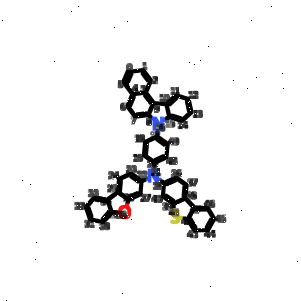 c1ccc2c(c#1)ccc1c2c2ccccc2n1-c1ccc(N(c2ccc3c(c2)oc2ccccc23)c2ccc3c(c2)sc2ccccc23)cc1